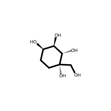 OC[C@@]1(O)CC[C@@H](O)[C@@H](O)[C@@H]1O